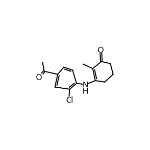 CC(=O)c1ccc(NC2=C(C)C(=O)CCC2)c(Cl)c1